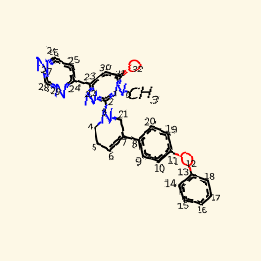 Cn1c(N2CCC=C(c3ccc(Oc4ccccc4)cc3)C2)nc(-c2ccncn2)cc1=O